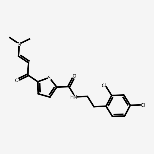 CN(C)C=CC(=O)c1ccc(C(=O)NCCc2ccc(Cl)cc2Cl)s1